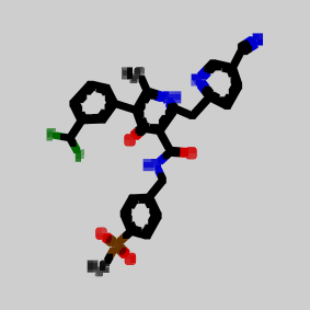 Cc1[nH]c(Cc2ccc(C#N)cn2)c(C(=O)NCc2ccc(S(C)(=O)=O)cc2)c(=O)c1-c1cccc(C(F)F)c1